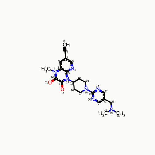 C#Cc1cnc2c(c1)n(C)c(=O)c(=O)n2C1CCN(c2ncc(CN(C)C)cn2)CC1